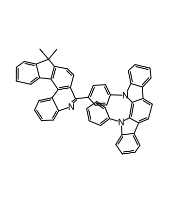 CC1(C)c2ccccc2-c2c1ccc1c(-c3ccc(-n4c5ccccc5c5ccc6c7ccccc7n(-c7ccccc7)c6c54)cc3)nc3ccccc3c21